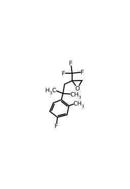 Cc1cc(F)ccc1C(C)(C)CC1(C(F)(F)F)CO1